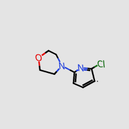 Clc1[c]ccc(N2CCOCC2)n1